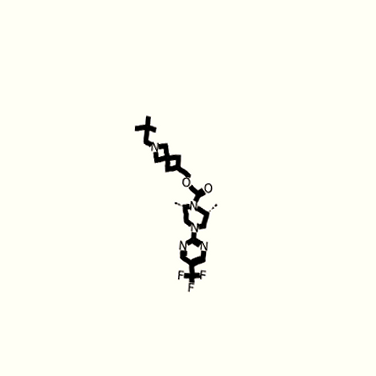 C[C@@H]1CN(c2ncc(C(F)(F)F)cn2)C[C@H](C)N1C(=O)OCC1CC2(C1)CN(CC(C)(C)C)C2